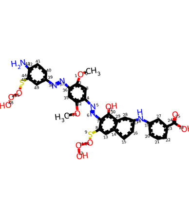 COc1cc(N=Nc2c(SOOO)cc3ccc(Nc4cccc(C(=O)O)c4)cc3c2O)c(OC)cc1N=Nc1ccc(N)c(SOOO)c1